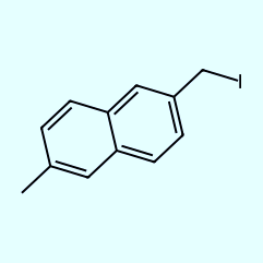 Cc1ccc2cc(CI)ccc2c1